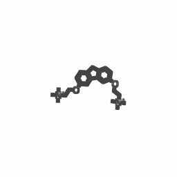 C[N+](C)(C)CCOc1ccc2c(c1)-c1cc(OCC[N+](C)(C)C)ccc1C2